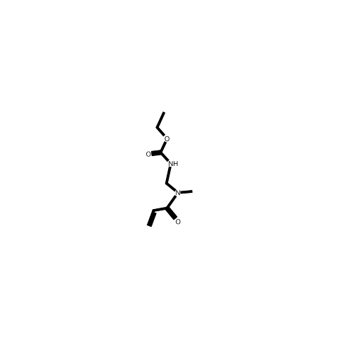 C=CC(=O)N(C)CNC(=O)OCC